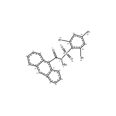 CCCCN(C(=O)c1c2ccccc2nc2ccccc12)S(=O)(=O)c1c(C(C)C)cc(C(C)C)cc1C(C)C